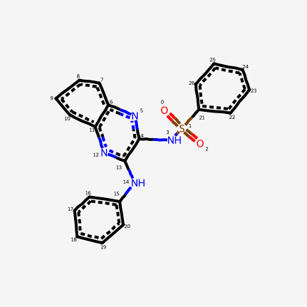 O=S(=O)(Nc1nc2ccccc2nc1Nc1ccccc1)c1ccccc1